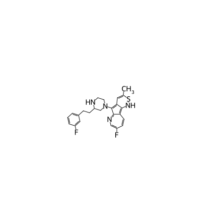 CC1=Cc2c(c3ccc(F)cnc-3c2N2CCNC(CCc3cccc(F)c3)C2)NS1